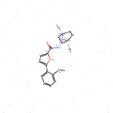 COc1ccccc1-c1ccc(C(=O)N[C@@H]2C[C@H]3CC[C@@H]2N3)o1